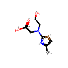 Cc1csc(N(CCO)CC(=O)O)n1